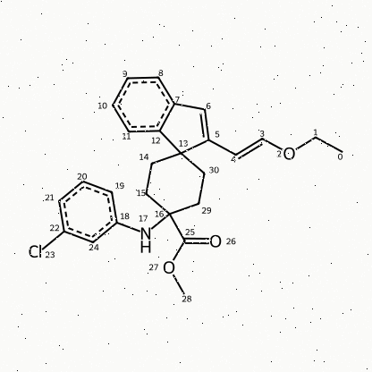 CCO/C=C/C1=Cc2ccccc2C12CCC(Nc1cccc(Cl)c1)(C(=O)OC)CC2